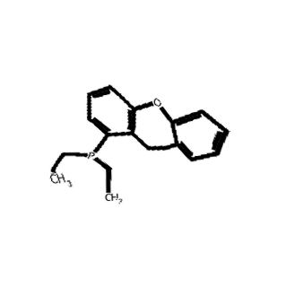 CCP(CC)c1cccc2c1Cc1ccccc1O2